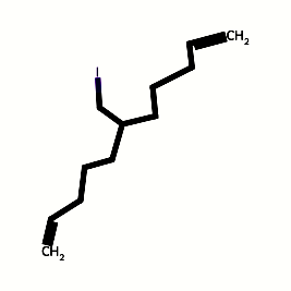 C=CCCCC(CI)CCCC=C